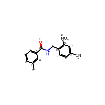 Cc1cccc(C(=O)NCc2ccc(C#N)cc2[N+](=O)[O-])c1